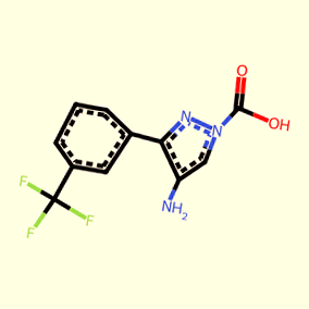 Nc1cn(C(=O)O)nc1-c1cccc(C(F)(F)F)c1